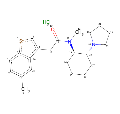 Cc1ccc2scc(CC(=O)N(C)[C@@H]3CCCC[C@H]3N3CCCC3)c2c1.Cl